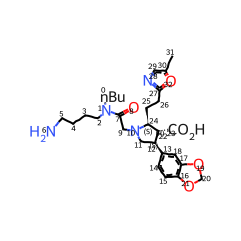 CCCCN(CCCCN)C(=O)CN1C[C@H](c2ccc3c(c2)OCO3)[C@@H](C(=O)O)[C@@H]1CCc1ncc(C)o1